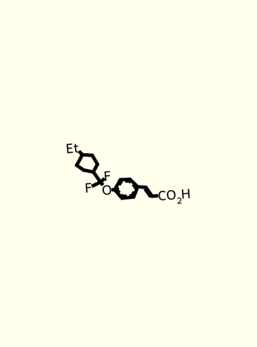 CCC1CCC(C(F)(F)Oc2ccc(C=CC(=O)O)cc2)CC1